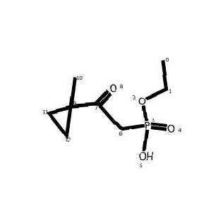 CCOP(=O)(O)CC(=O)C1(C)CC1